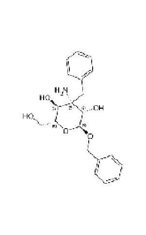 N[C@]1(Cc2ccccc2)[C@H](O)[C@@H](OCc2ccccc2)O[C@H](CO)[C@H]1O